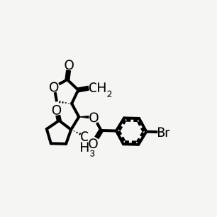 C=C1C(=O)OC[C@H]1[C@@H](OC(=O)c1ccc(Br)cc1)[C@@]1(C)CCCC1=O